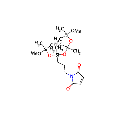 CO[Si](C)(C)O[Si](C)(C)O[Si](C)(CCCN1C(=O)C=CC1=O)O[Si](C)(C)OC